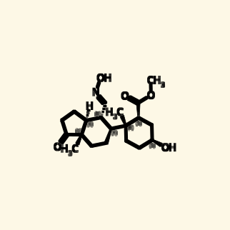 COC(=O)[C@H]1C[C@@H](O)CC[C@]1(C)[C@H]1CC[C@]2(C)C(=O)CC[C@H]2[C@@H]1C=NO